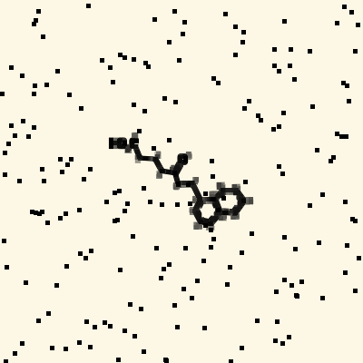 O=C(O)CCCC(=O)/C=C/c1cccc2ccccc12